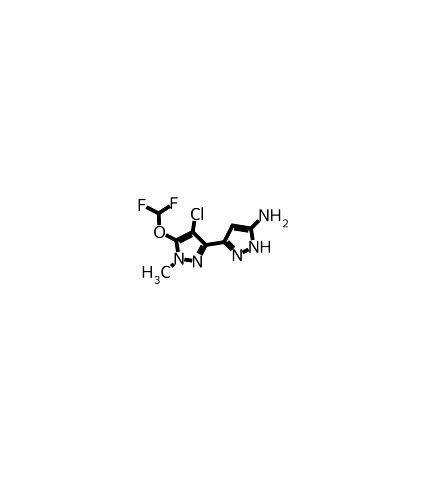 Cn1nc(-c2cc(N)[nH]n2)c(Cl)c1OC(F)F